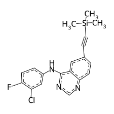 C[Si](C)(C)C#Cc1ccc2ncnc(Nc3ccc(F)c(Cl)c3)c2c1